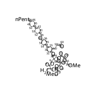 C=C(C)C(=O)OCC(COC(=O)C(=O)OCCOC)(COC(=O)C(=O)OCCOC)COc1ccc(-c2ccc(OCC3CCC(C4CCC(CCCCC)CC4)CC3)cc2)cc1CCC1CO1